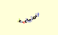 CN/C=C(\C=N)c1ccc(CNc2cc(-c3cnc4cc(OCCN5C[C@@H](F)[C@@H](F)C5)ccn34)ncn2)cc1